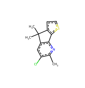 Cc1nc2c(cc1Cl)C(C)(C)c1ccsc1-2